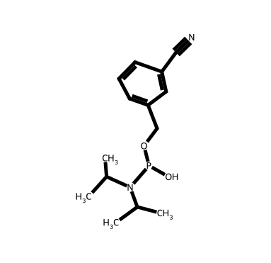 CC(C)N(C(C)C)P(O)OCc1cccc(C#N)c1